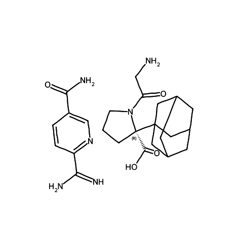 N=C(N)c1ccc(C(N)=O)cn1.NCC(=O)N1CCC[C@]1(C(=O)O)C12CC3CC(CC(C3)C1)C2